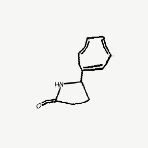 O=C1CCC(c2c[c]ccc2)N1